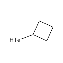 [TeH]C1CCC1